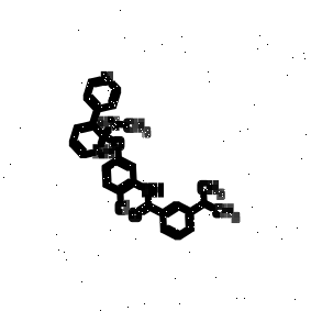 CNC1(Oc2ccc(Cl)c(NC(=O)c3cccc(C(C)C)c3)c2)NC=CC=C1c1ccncc1